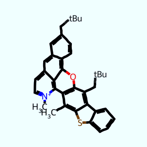 Cc1c2c(c(CC(C)(C)C)c3c1sc1ccccc13)Oc1c3ccc(CC(C)(C)C)cc3cc3cc[n+](C)c-2c13